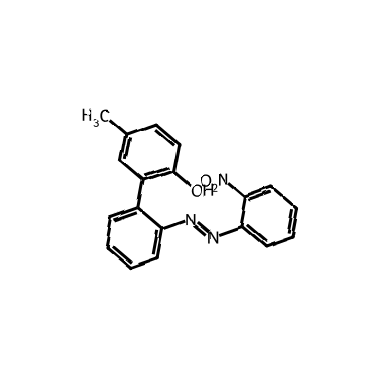 Cc1ccc(O)c(-c2ccccc2N=Nc2ccccc2[N+](=O)[O-])c1